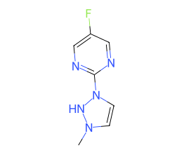 CN1C=CN(c2ncc(F)cn2)N1